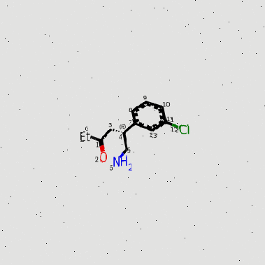 CCC(=O)C[C@@H](CN)c1cccc(Cl)c1